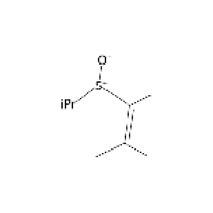 CC(C)=C(C)[S+]([O-])C(C)C